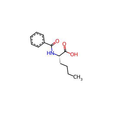 CCCC[C@H](NC(=O)c1ccccc1)C(=O)O